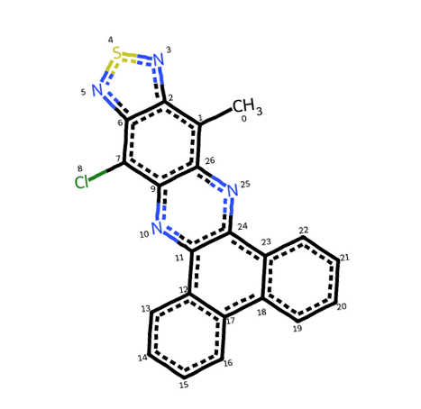 Cc1c2nsnc2c(Cl)c2nc3c4ccccc4c4ccccc4c3nc12